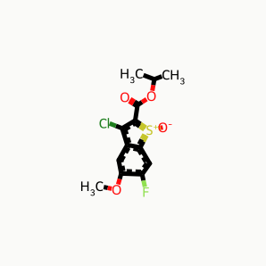 COc1cc2c(Cl)c(C(=O)OC(C)C)[s+]([O-])c2cc1F